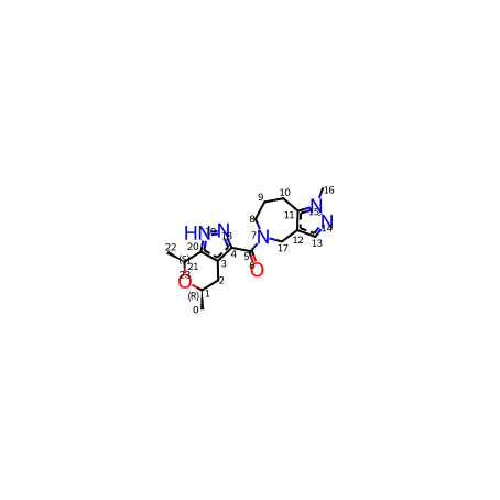 C[C@@H]1Cc2c(C(=O)N3CCCc4c(cnn4C)C3)n[nH]c2[C@H](C)O1